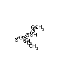 C=CC(=O)OCC(O)COCC(CC)(COCOCC)COCC1CO1